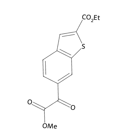 CCOC(=O)c1cc2ccc(C(=O)C(=O)OC)cc2s1